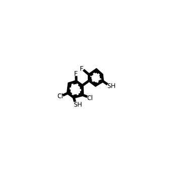 Fc1ccc(S)cc1-c1c(F)cc(Cl)c(S)c1Cl